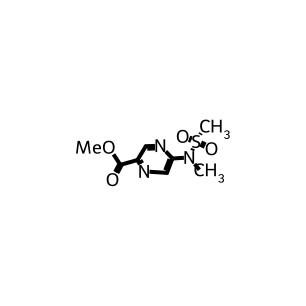 COC(=O)c1cnc(N(C)S(C)(=O)=O)cn1